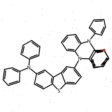 c1ccc(N(c2ccccc2)c2ccc3sc4ccc(N(c5ccccc5)c5ccccc5N(c5ccccc5)c5ccccc5)cc4c3c2)cc1